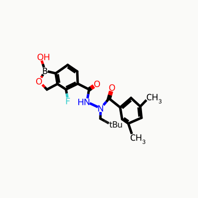 Cc1cc(C)cc(C(=O)N(CC(C)(C)C)NC(=O)c2ccc3c(c2F)COB3O)c1